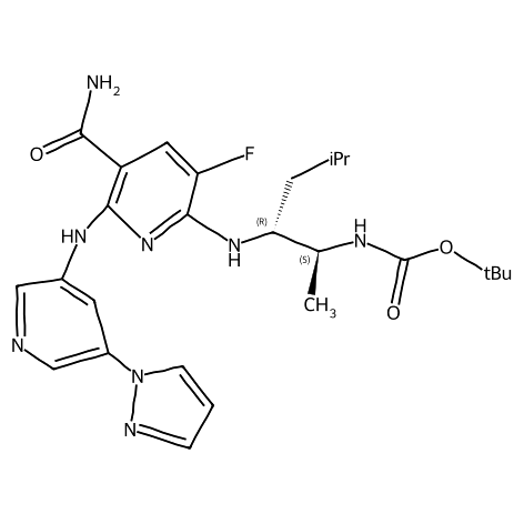 CC(C)C[C@@H](Nc1nc(Nc2cncc(-n3cccn3)c2)c(C(N)=O)cc1F)[C@H](C)NC(=O)OC(C)(C)C